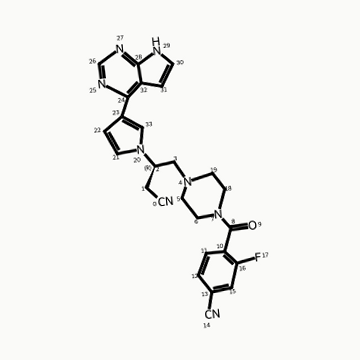 N#CC[C@H](CN1CCN(C(=O)c2ccc(C#N)cc2F)CC1)n1ccc(-c2ncnc3[nH]ccc23)c1